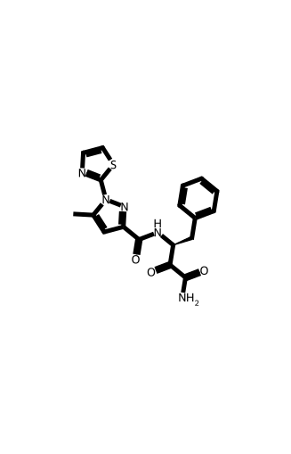 Cc1cc(C(=O)N[C@@H](Cc2ccccc2)C(=O)C(N)=O)nn1-c1nccs1